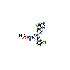 COC1CN(c2nc(-c3ccc(F)c(Cl)c3)cc(N3CCN(c4ncccc4C(F)(F)F)CC3)n2)C1